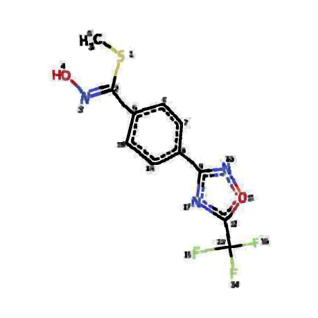 CS/C(=N\O)c1ccc(-c2noc(C(F)(F)F)n2)cc1